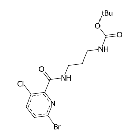 CC(C)(C)OC(=O)NCCCNC(=O)c1nc(Br)ccc1Cl